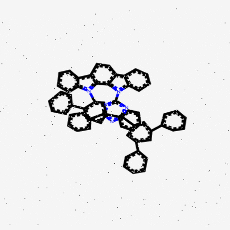 c1ccc(-c2cc(-c3ccccc3)cc(-c3nc(-c4ccccc4)nc(-n4c5ccccc5c5ccc6c7ccccc7n(-c7cc(-c8ccccc8)ccc7-c7ccccc7)c6c54)n3)c2)cc1